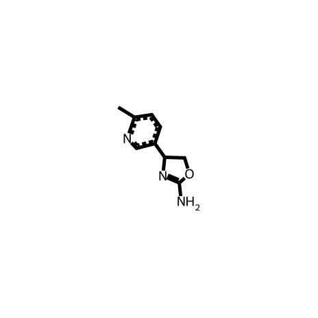 Cc1ccc(C2COC(N)=N2)cn1